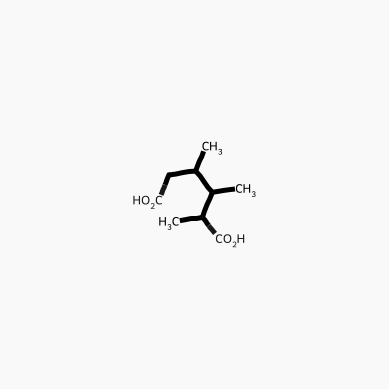 CC(CC(=O)O)C(C)C(C)C(=O)O